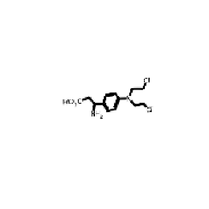 NC(CC(=O)O)c1ccc(N(CCCl)CCCl)cc1